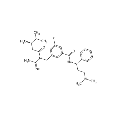 CC(C)[C@H](C)CC(=O)N(Cc1cc(F)cc(C(=O)NC(CCN(C)C)c2ccccc2)c1)C(=N)N